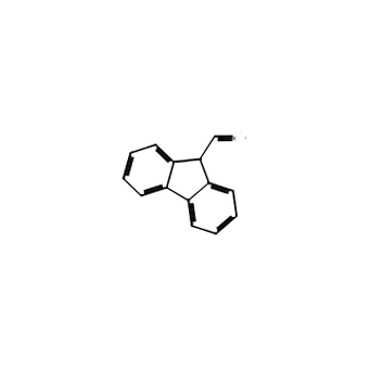 O=CC1c2ccccc2-c2ccccc21